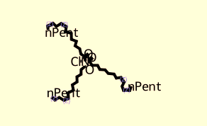 CCCCC/C=C\C/C=C\CCCCCCCC(=O)[N+](Cl)(C(=O)CCCCCCC/C=C\C/C=C\CCCCC)C(=O)CCCCCCC/C=C\C/C=C\CCCCC